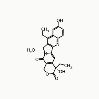 CCc1c2c(nc3ccc(O)cc13)-c1cc3c(c(=O)n1C2)COC(=O)[C@]3(O)CC.O